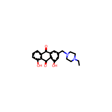 CCN1CCN(Cc2cc(O)c3c(c2)C(=O)c2cccc(O)c2C3=O)CC1